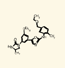 CCOCc1ccc(C)c(Nc2ncc(-c3cc(OC)cc(N4CC(C)NC4=O)c3)o2)c1